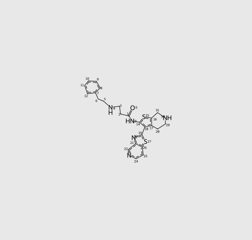 O=C(CCNCCc1ccccc1)Nc1sc2c(c1-c1nc3cnccc3s1)CCNC2